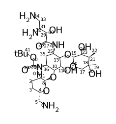 CC1CC[C@@H](CN)O[C@@H]1OC1C(O)C(O[C@H]2OCC(C)(O)[C@H](C)C2O)[C@H](NC(=O)[C@@H](O)C(N)CN)C[C@@H]1NC(=O)OC(C)(C)C